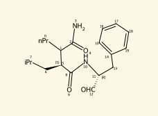 CCCC(C(N)=O)[C@H](CC(C)C)C(=O)N[C@@H](C=O)Cc1ccccc1